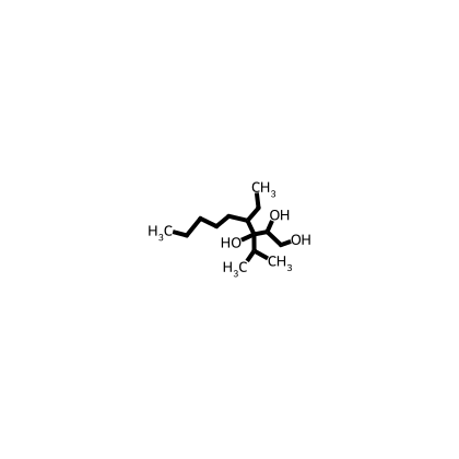 CCCCCC(CC)C(O)(C(C)C)C(O)CO